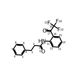 O=C(CCc1ccccc1)Nc1ccccc1C(=O)C(F)(F)F